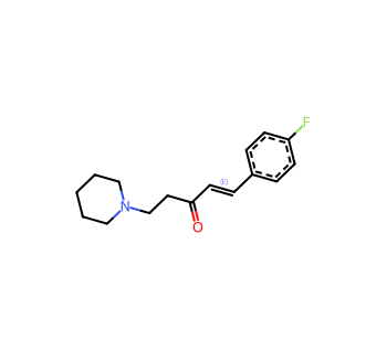 O=C(/C=C/c1ccc(F)cc1)CCN1CCCCC1